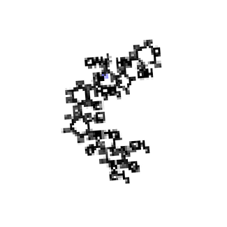 C=C(/N=C(/OC)C1=C(C)CCC1NC1CCOCC1O)c1cccc(-c2cccc(NC(=O)c3cn(C)c(=O)n(C)c3=O)c2Cl)c1Cl